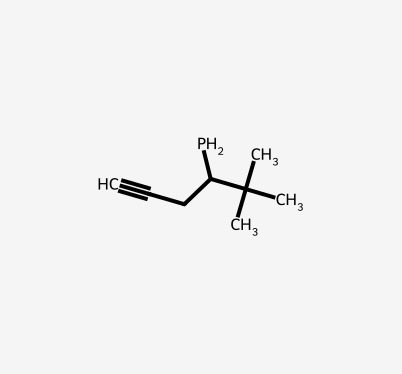 C#CCC(P)C(C)(C)C